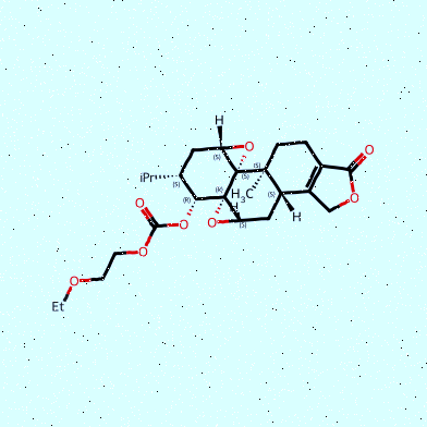 CCOCCOC(=O)O[C@@H]1[C@H](C(C)C)C[C@@H]2O[C@]23[C@]12O[C@H]2C[C@H]1C2=C(CC[C@@]13C)C(=O)OC2